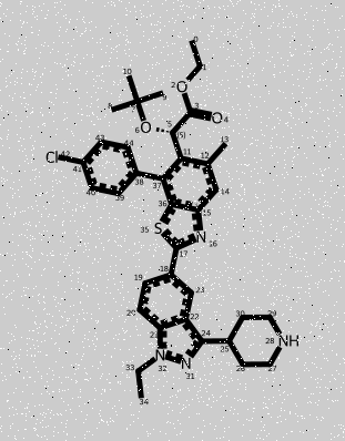 CCOC(=O)[C@@H](OC(C)(C)C)c1c(C)cc2nc(-c3ccc4c(c3)c(C3CCNCC3)nn4CC)sc2c1-c1ccc(Cl)cc1